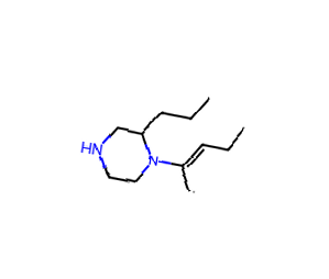 [CH2]C(=CCC)N1CCNCC1CCC